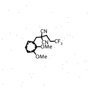 COc1cccc(CC(C#N)(C#N)CCC(F)(F)F)c1OC